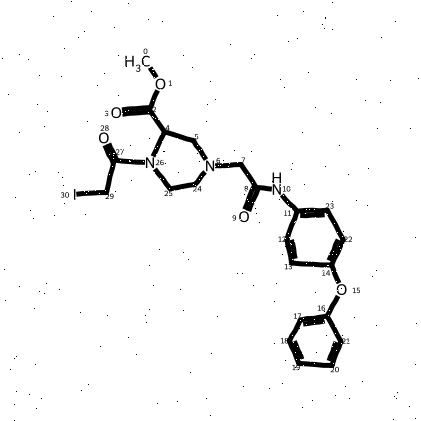 COC(=O)C1CN(CC(=O)Nc2ccc(Oc3ccccc3)cc2)CCN1C(=O)CI